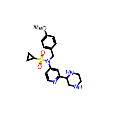 COc1ccc(CN(c2ccnc(C3CNCCN3)c2)S(=O)(=O)C2CC2)cc1